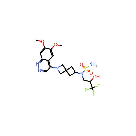 COc1cc2nncc(N3CC4(CC(N(CC(O)C(F)(F)F)S(N)(=O)=O)C4)C3)c2cc1OC